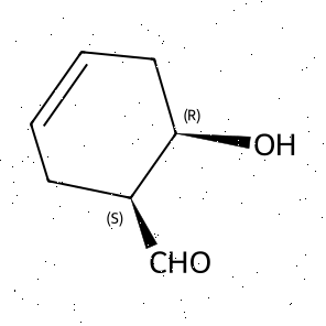 O=C[C@H]1CC=CC[C@H]1O